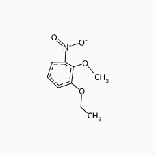 CCOc1cccc([N+](=O)[O-])c1OC